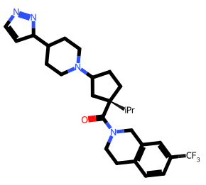 CC(C)[C@]1(C(=O)N2CCc3ccc(C(F)(F)F)cc3C2)CCC(N2CCC(C3C=CN=N3)CC2)C1